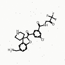 NCc1ccc2c(c1)C1(CCNCC1)C(C(=O)c1cc(Cl)cc(C(=O)NCC(=O)C(F)(F)F)c1)O2